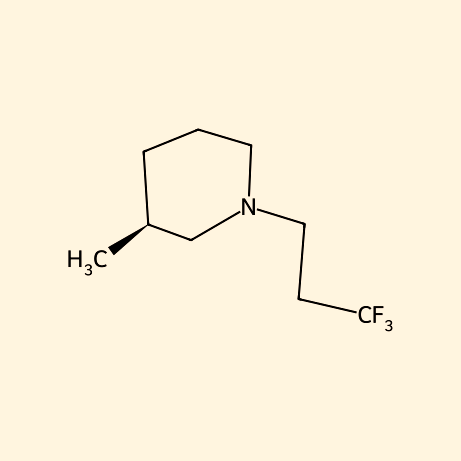 C[C@H]1CCCN(CCC(F)(F)F)C1